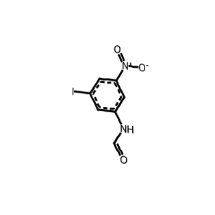 O=CNc1cc(I)cc([N+](=O)[O-])c1